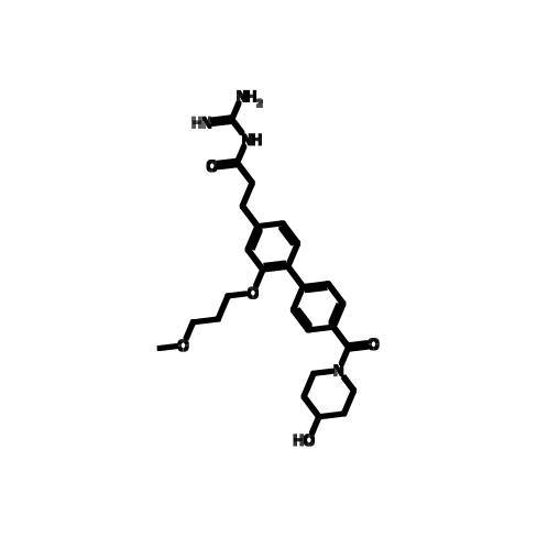 COCCCOc1cc(CCC(=O)NC(=N)N)ccc1-c1ccc(C(=O)N2CCC(O)CC2)cc1